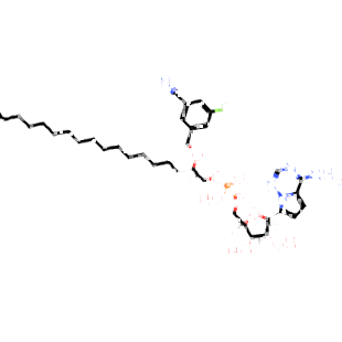 CCCCCCCCCCCCCCCC[C@@H](COP(=O)(O)OC[C@@]1(C)O[C@@H](c2ccc3c(N)ncnn23)[C@H](O)[C@@H]1O)OCc1cc(F)cc(C#N)c1